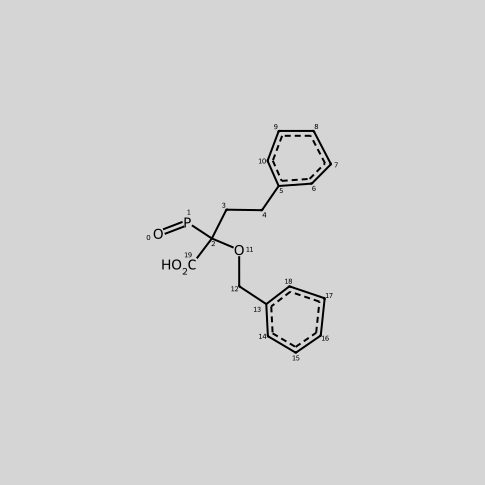 O=PC(CCc1ccccc1)(OCc1ccccc1)C(=O)O